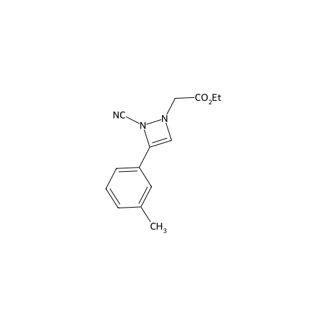 CCOC(=O)Cn1cc(-c2cccc(C)c2)n1C#N